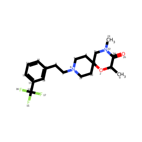 CC1OC2(CCN(CCc3cccc(C(F)(F)F)c3)CC2)CN(C)C1=O